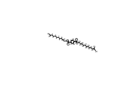 CC(C)CCCCCCCCCCOC(=O)c1ccc(C(=O)OCCCCCCCCCCC(C)C)cc1